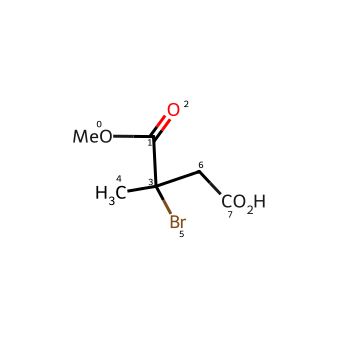 COC(=O)C(C)(Br)CC(=O)O